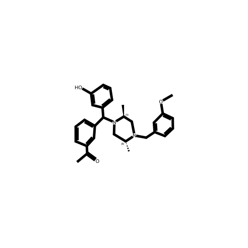 COc1cccc(CN2C[C@H](C)N(C(c3cccc(O)c3)c3cccc(C(C)=O)c3)C[C@H]2C)c1